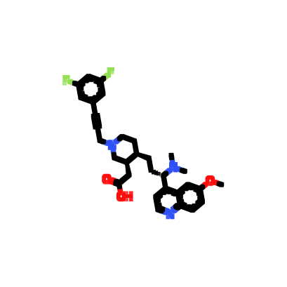 COc1ccc2nccc([C@H](CC[C@@H]3CCN(CC#Cc4cc(F)cc(F)c4)C[C@@H]3CC(=O)O)N(C)C)c2c1